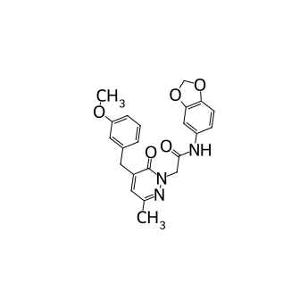 COc1cccc(Cc2cc(C)nn(CC(=O)Nc3ccc4c(c3)OCO4)c2=O)c1